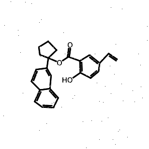 C=Cc1ccc(O)c(C(=O)OC2(c3ccc4ccccc4c3)CCCC2)c1